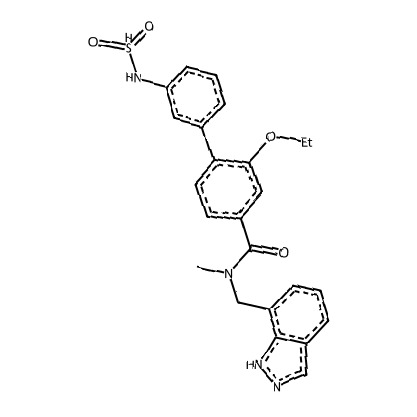 CCOc1cc(C(=O)N(C)Cc2cccc3cn[nH]c23)ccc1-c1cccc(N[SH](=O)=O)c1